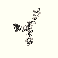 CC(C)(C)OP(=O)(OCC(=O)O[C@@H]1CC2(NC(=O)COc3ccc(Cl)c(F)c3)CCC1(NC(=O)COc1ccc(Cl)c(F)c1)CC2)OC(C)(C)C